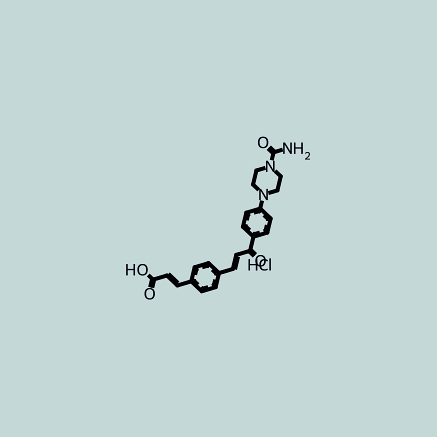 Cl.NC(=O)N1CCN(c2ccc(C(=O)/C=C/c3ccc(C=CC(=O)O)cc3)cc2)CC1